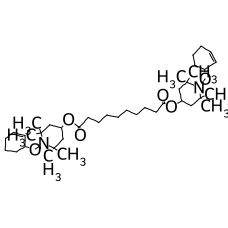 CC1(C)CC(OC(=O)CCCCCCCCC(=O)OC2CC(C)(C)N(OC3C=CCCC3)C(C)(C)C2)CC(C)(C)N1OC1C=CCCC1